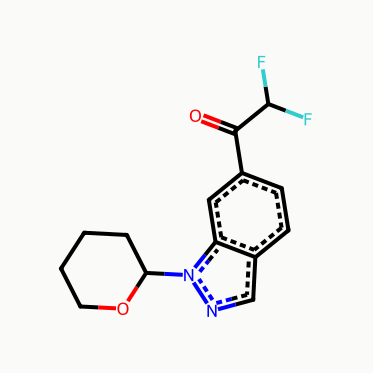 O=C(c1ccc2cnn(C3CCCCO3)c2c1)C(F)F